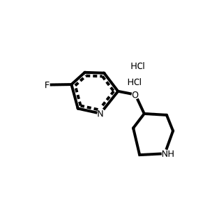 Cl.Cl.Fc1ccc(OC2CCNCC2)nc1